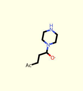 CC(=O)CCC([O])N1CCNCC1